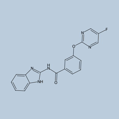 O=C(Nc1nc2ccccc2[nH]1)c1cccc(Oc2ncc(F)cn2)c1